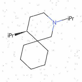 CC(C)[C@H]1CCN(C(C)C)CC12CCCCC2